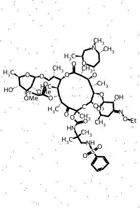 CCO/N=C1\C[C@@H](C)O[C@@H](O[C@@H]2[C@@H](C)[C@H](O[C@H]3C[C@@H](C)N(C)C[C@H](C)O3)[C@@H](C)C(=O)O[C@H]([C@@H](C)CO[C@@H]3O[C@H](C)[C@@H](O)[C@@H](OC)[C@H]3OC)[C@H](C)[C@@H](OC(=O)CC(C)C)[C@@H](C)C(=O)[C@@](C)(OC(=O)NC(C)(C)CNS(=O)(=O)c3ccccc3)C[C@@H]2C)[C@@H]1O